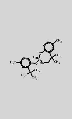 Cc1ccc(OP2(=O)NCC(C)(C)c3cc(C)ccc3O2)c(C(C)(C)C)c1